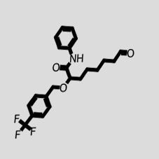 O=CCCCCCC(OCc1ccc(C(F)(F)F)cc1)C(=O)Nc1ccccc1